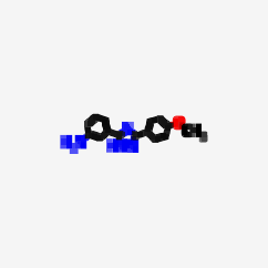 COc1ccc(-c2n[nH]c(-c3cccc(N)c3)n2)cc1